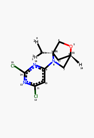 [2H]C([2H])[C@@]12CO[C@H](CN1c1cc(Cl)nc(Cl)n1)C2